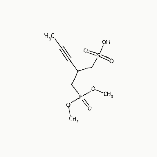 CC#CC(CP(=O)(OC)OC)CS(=O)(=O)O